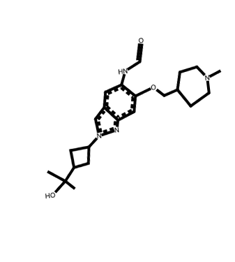 CN1CCC(COc2cc3nn(C4CC(C(C)(C)O)C4)cc3cc2NC=O)CC1